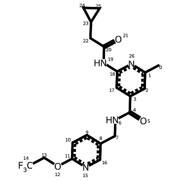 Cc1cc(C(=O)NCc2ccc(OCC(F)(F)F)nc2)cc(NC(=O)CC2CC2)n1